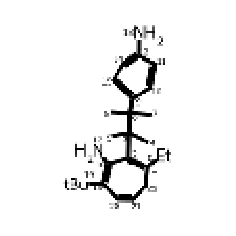 CCC1=C(C(C)(C)C(C)(C)c2ccc(N)cc2)C(N)=C(C(C)(C)C)C=CC1